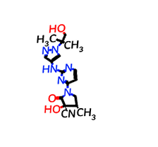 C[C@H]1CN(c2ccnc(Nc3cnn(C(C)(C)CO)c3)n2)C(=O)[C@@]1(O)C#N